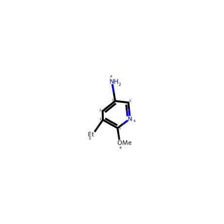 CCc1cc(N)cnc1OC